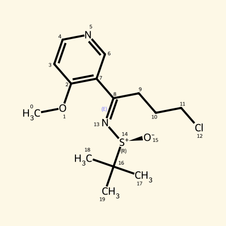 COc1ccncc1/C(CCCCl)=N/[S@@+]([O-])C(C)(C)C